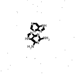 Nc1nc(N)c2[nH]cnc2n1.c1ncc2[nH]cnc2n1